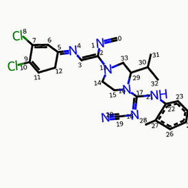 C=N/C(=C\N=C1\C=C(Cl)C(Cl)=CC1)N1CCN(/C(=N\C#N)Nc2ccccc2C)C(C(C)C)C1